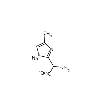 Cc1csc(C(C)C(=O)[O-])n1.[Na+]